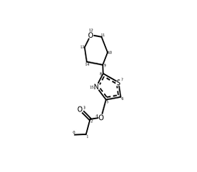 CCC(=O)Oc1csc(C2CCOCC2)n1